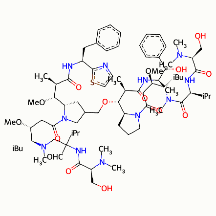 CC[C@H](C)[C@@H]([C@@H](CC(=O)N1CC(CO[C@H]([C@@H](C)C(=O)N[C@H](C)[C@@H](O)c2ccccc2)[C@@H]2CCCN2C(=O)C[C@@H](OC)[C@H]([C@@H](C)CC)N(C)C(=O)[C@@H](NC(=O)[C@H](CO)N(C)C)C(C)C)C[C@H]1[C@H](OC)[C@@H](C)C(=O)N[C@@H](Cc1ccccc1)c1nccs1)OC)N(C)CC(C=O)(NC(=O)[C@H](CO)N(C)C)C(C)C